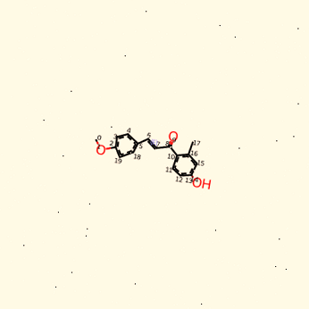 COc1ccc(/C=C/C(=O)c2ccc(O)cc2C)cc1